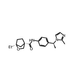 CC[C@@]12CC[C@@](C(=O)Nc3ccc([C@H](C)n4ccnc4C)cc3)(CO1)C2